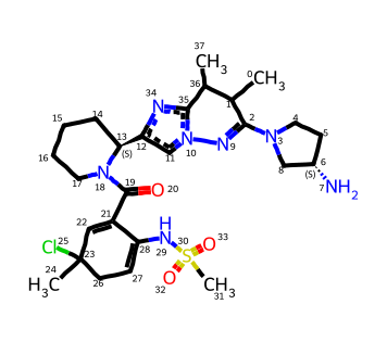 CC1C(N2CC[C@H](N)C2)=Nn2cc([C@@H]3CCCCN3C(=O)C3=CC(C)(Cl)CC=C3NS(C)(=O)=O)nc2C1C